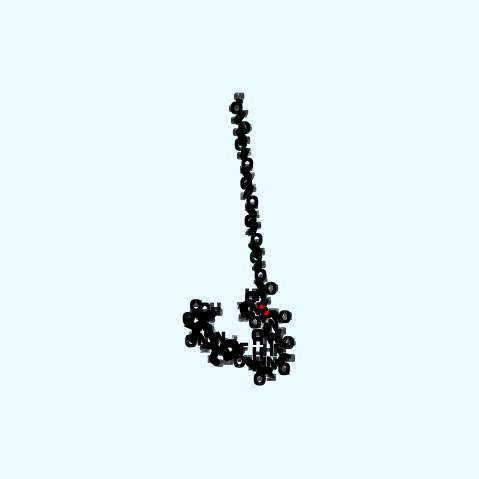 CCc1c2c(nc3cc(F)c(OCCNC(=O)[C@H](C)NC(=O)[C@H](C)NC(=O)[C@H](C)NC(=O)[C@H](CCCCNC(=O)COCCOCCOCCOCCOCCOCCOCCOCCOCCOC)NC(=O)CCCN4C(=O)C=CC4=O)cc13)-c1cc3c(c(=O)n1C2)COC(=O)[C@]3(O)CC